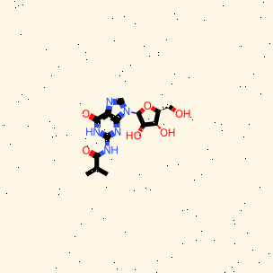 CC(C)C(=O)Nc1nc2c(ncn2[C@@H]2O[C@H](CO)[C@H](O)C2O)c(=O)[nH]1